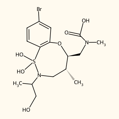 CC(CO)N1C[C@@H](C)[C@H](CN(C)C(=O)O)Oc2cc(Br)ccc2S1(O)O